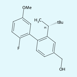 COc1ccc(F)c(-c2ccc(CO)cc2[C@H](C)C(C)(C)C)c1